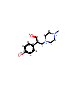 CN1CCN(CC(C=O)c2ccc(Br)cc2)CC1